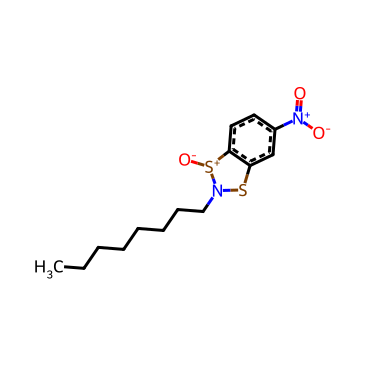 CCCCCCCCN1Sc2cc([N+](=O)[O-])ccc2[S+]1[O-]